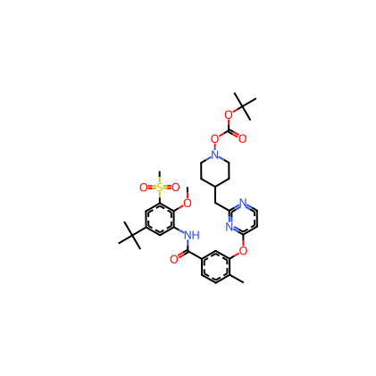 COc1c(NC(=O)c2ccc(C)c(Oc3ccnc(CC4CCN(OC(=O)OC(C)(C)C)CC4)n3)c2)cc(C(C)(C)C)cc1S(C)(=O)=O